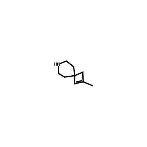 CC1=CC2(CCNCC2)C1